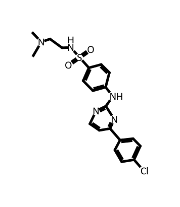 CN(C)CCNS(=O)(=O)c1ccc(Nc2nccc(-c3ccc(Cl)cc3)n2)cc1